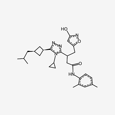 Cc1ccc(NC(=O)CC(Cc2cc(O)no2)c2nnc([C@H]3C[C@@H](CC(C)C)C3)n2C2CC2)c(C)c1